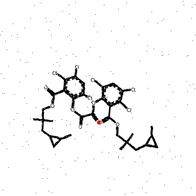 CC1CC1CC(C)(C)COC(=O)c1c(Cl)c(Cl)cc(Cl)c1OC(=O)C(=O)Oc1c(Cl)cc(Cl)c(Cl)c1C(=O)OCC(C)(C)CC1CC1C